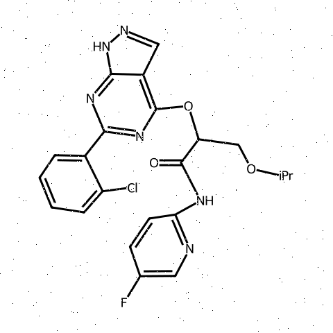 CC(C)OCC(Oc1nc(-c2ccccc2Cl)nc2[nH]ncc12)C(=O)Nc1ccc(F)cn1